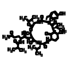 CCC(C)[C@@H]1NC(=O)[C@H](Cc2ccc(O)cc2)N(C)C(=O)[C@H](C(C)C)N2C(=O)C(CC[C@@H]2O)NC(=O)[C@H](CC(C)C)NC(=O)[C@@H](NC(=O)[C@H](CCC(N)=O)NC(=O)C(C)C)[C@@H](C)OC1=O